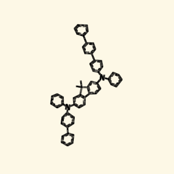 CC1(C)c2cc(N(c3ccccc3)c3ccc(-c4ccccc4)cc3)ccc2-c2ccc(N(c3ccccc3)c3ccc(-c4ccc(-c5ccccc5)cc4)cc3)cc21